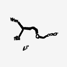 CCCCCCC(CCCC)COC(=O)[O-].[Li+]